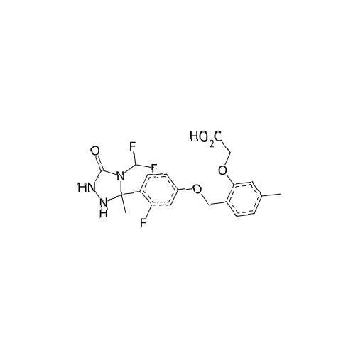 Cc1ccc(COc2ccc(C3(C)NNC(=O)N3C(F)F)c(F)c2)c(OCC(=O)O)c1